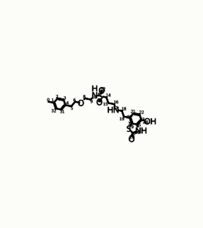 Cc1ccc(CCOCCNS(=O)(=O)CCCNCCc2ccc(O)c3[nH]c(=O)sc23)cc1